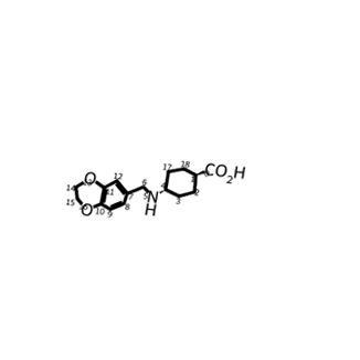 O=C(O)[C@H]1CC[C@H](NCc2ccc3c(c2)OCCO3)CC1